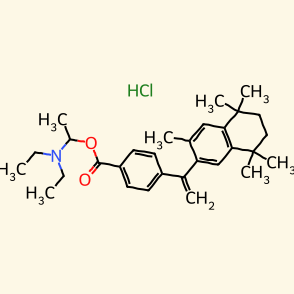 C=C(c1ccc(C(=O)OC(C)N(CC)CC)cc1)c1cc2c(cc1C)C(C)(C)CCC2(C)C.Cl